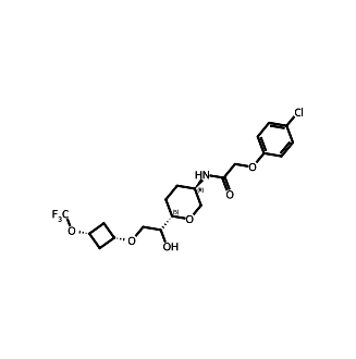 O=C(COc1ccc(Cl)cc1)N[C@@H]1CC[C@@H](C(O)CO[C@H]2C[C@@H](OC(F)(F)F)C2)OC1